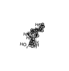 CC(C)NCCC(=O)Nc1cc(COC(=O)NCc2c3c(nc4cc5c(cc24)OCO5)-c2cc4c(c(=O)n2C3)COC(=O)[C@H]4O)ccc1O[C@@H]1OC(C(=O)O)[C@@H](O)C(O)C1O